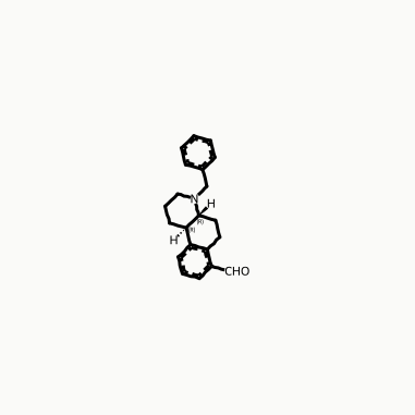 O=Cc1cccc2c1CC[C@@H]1[C@@H]2CCCN1Cc1ccccc1